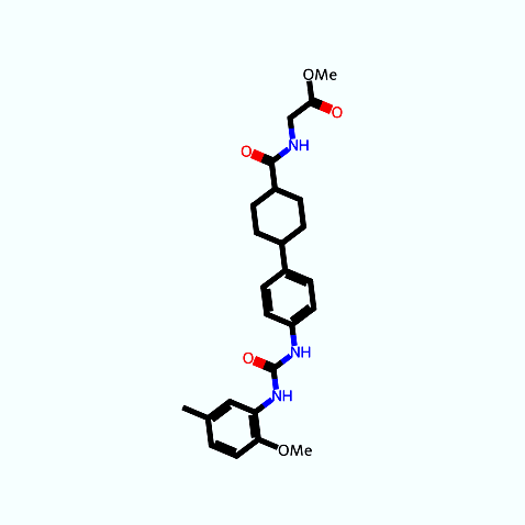 COC(=O)CNC(=O)C1CCC(c2ccc(NC(=O)Nc3cc(C)ccc3OC)cc2)CC1